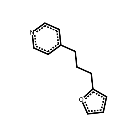 [CH](Cc1ccncc1)Cc1ccco1